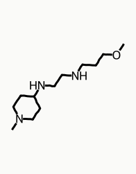 COCCCNCCNC1CCN(C)CC1